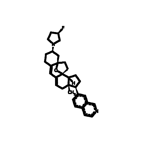 C[C@]12CC=C3C=C4CC[C@H](N5CC[C@@H](F)C5)C[C@]45CC[C@]3(O5)[C@@H]1CC[C@@H]2c1ccc2ccncc2c1